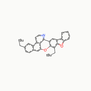 CC(C)(C)Cc1ccc2cc3c4c(nccc4c2c1)-c1cc2c(oc4ccccc42)c(CC(C)(C)C)c1O3